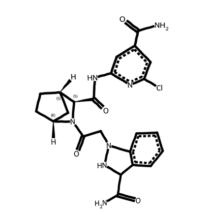 NC(=O)c1cc(Cl)nc(NC(=O)[C@@H]2[C@H]3CC[C@H](C3)N2C(=O)CN2NC(C(N)=O)c3ccccc32)c1